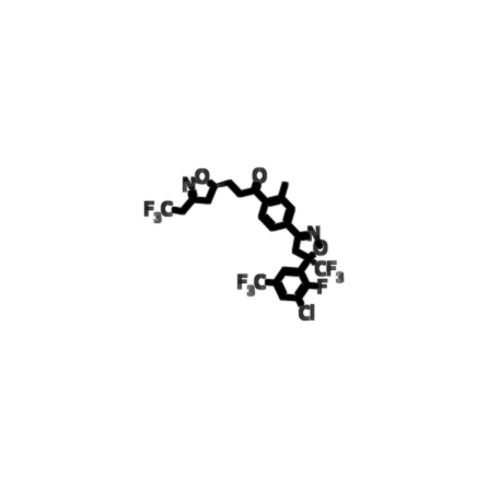 Cc1cc(C2=NO[C@@](c3cc(C(F)(F)F)cc(Cl)c3F)(C(F)(F)F)C2)ccc1C(=O)CC[C@H]1CC(CC(F)(F)F)=NO1